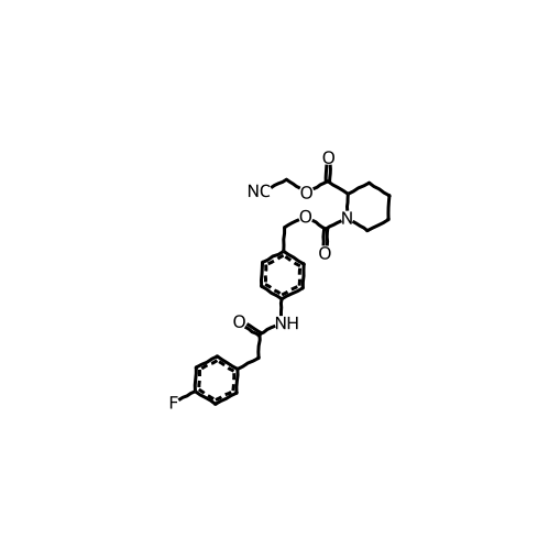 N#CCOC(=O)C1CCCCN1C(=O)OCc1ccc(NC(=O)Cc2ccc(F)cc2)cc1